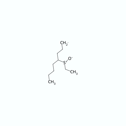 [CH2]CCC(CCCC)[S+]([O-])CC